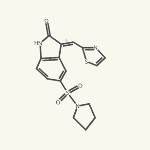 O=C1Nc2ccc(S(=O)(=O)N3CCCC3)cc2/C1=C\c1nccs1